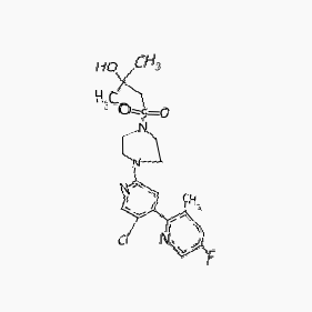 Cc1cc(F)cnc1-c1cc(N2CCN(S(=O)(=O)CC(C)(C)O)CC2)ncc1Cl